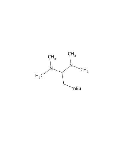 CCCCCC(N(C)C)N(C)C